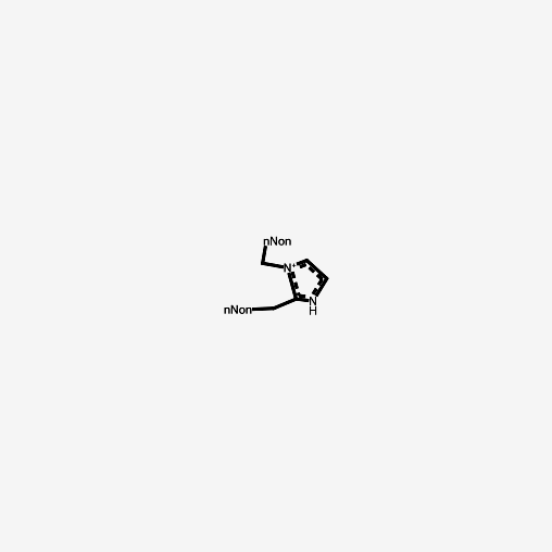 CCCCCCCCCCc1[nH]cc[n+]1CCCCCCCCCC